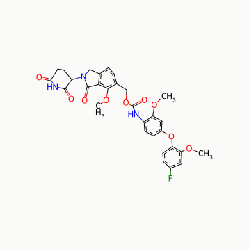 COc1cc(Oc2ccc(F)cc2OC)ccc1NC(=O)OCc1ccc2c(c1OC)C(=O)N(C1CCC(=O)NC1=O)C2